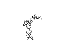 CCOC(=O)OC(C)OC(=O)C1=CN2C(=O)C(NC(=O)Cc3csc(N)n3)[C@H]2SC1